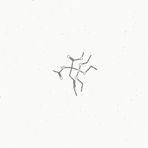 C/C=C/CC(NC(C)=O)(C(=O)OC)[Si](OCC)(OCC)OCC